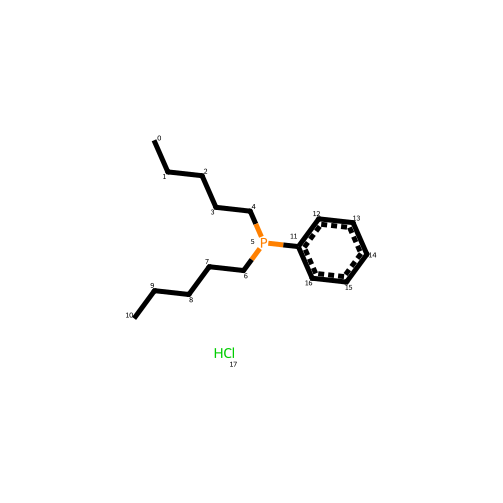 CCCCCP(CCCCC)c1ccccc1.Cl